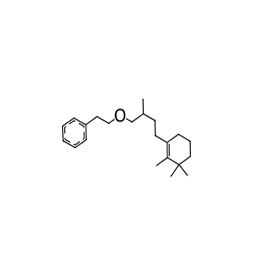 CC1=C(CCC(C)COCCc2ccccc2)CCCC1(C)C